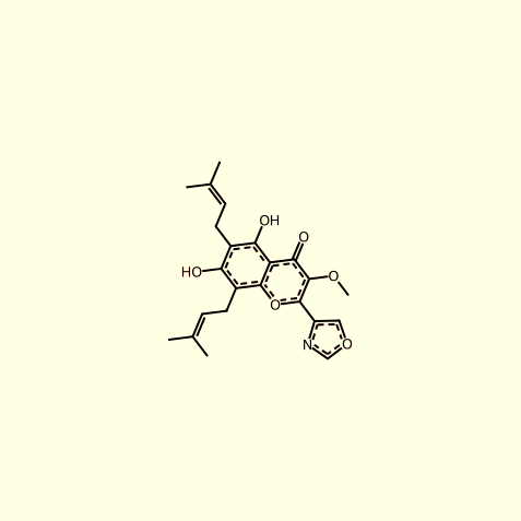 COc1c(-c2cocn2)oc2c(CC=C(C)C)c(O)c(CC=C(C)C)c(O)c2c1=O